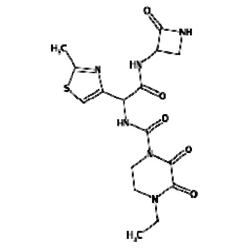 CCN1CCN(C(=O)NC(C(=O)NC2CNC2=O)c2csc(C)n2)C(=O)C1=O